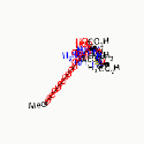 CC[C@H](C)[C@H](NC(=O)[C@H]1CCCC[N+]1(C)Cc1ccc(O[C@@H]2O[C@H](C(=O)O)C[C@H](O)[C@H]2O)c(NC(=O)CCNC(=O)[C@H](CCCCNC(=O)CCOCCOCCOCCOCCOCCOCCOCCOCCOCCOCCOCCOC)NC(=O)[C@H](CN)N2C(=O)C=CC2=O)c1)C(=O)N(C)[C@H](C[C@@H](OC(C)=O)c1nc(C(=O)N[C@@H](Cc2ccccc2)C[C@H](C)C(=O)O)cs1)C(C)C